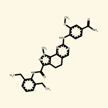 CCc1cccc(CC)c1NC(=O)c1nn(C)c2c1CCc1cnc([AsH]c3ccc(C(N)=O)cc3OC)nc1-2